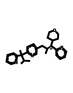 CC(Cc1ccc(C(C)(c2ccccn2)C(C)C)nc1)[C@H](c1ccccn1)C1CCOCC1